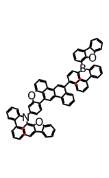 c1ccc(-c2ccccc2B(c2ccc(-c3cc4c5cccc6c5c(cc4c4ccccc34)-c3ccc(N(c4ccccc4-c4ccccc4)c4cccc5c4oc4ccccc45)cc3O6)cc2)c2cccc3c2oc2ccccc23)cc1